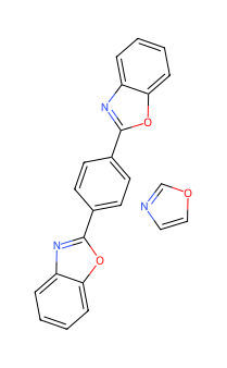 c1ccc2oc(-c3ccc(-c4nc5ccccc5o4)cc3)nc2c1.c1cocn1